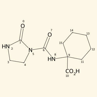 O=C1NCCN1C(=O)NC1(C(=O)O)CCCCC1